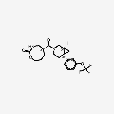 O=C1NC[C@H](C(=O)N2CC[C@]3(c4cccc(OC(F)(F)F)c4)C[C@@H]3C2)CCCO1